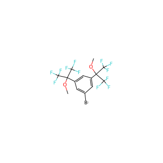 [B]c1cc(C(OC)(C(F)(F)F)C(F)(F)F)cc(C(OC)(C(F)(F)F)C(F)(F)F)c1